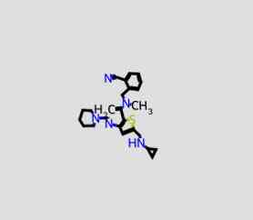 C=C(c1sc(CNC2CC2)cc1/N=C/N1CCCCC1)N(C)Cc1ccccc1C#N